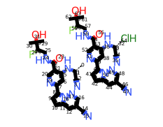 C[C@H](C#N)Nc1cc(-c2ccc3cc(C#N)cnn23)ncc1C(=O)NC[C@@H](F)C(C)(C)O.C[C@H](C#N)Nc1cc(-c2ccc3cc(C#N)cnn23)ncc1C(=O)NC[C@@H](F)C(C)(C)O.Cl